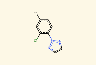 CCc1ccc(-n2nccn2)c(Cl)c1